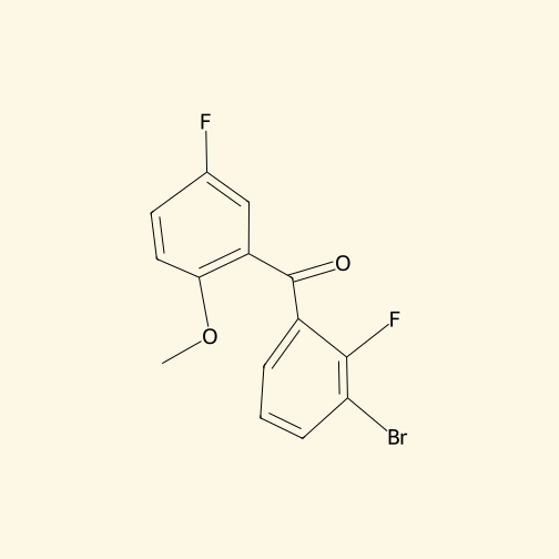 COc1ccc(F)cc1C(=O)c1cccc(Br)c1F